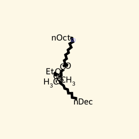 CCCCCCCC/C=C\CCCCCCCC(=O)OCC(CO[Si](C)(C)CCCCCCCCCCCCCCCCCC)OC(=O)CC